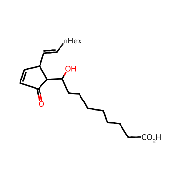 CCCCCCC=CC1C=CC(=O)C1C(O)CCCCCCCC(=O)O